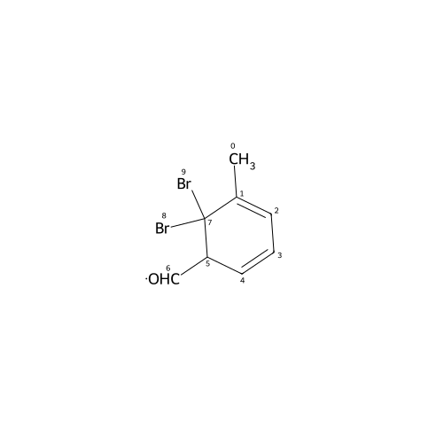 CC1=CC=CC([C]=O)C1(Br)Br